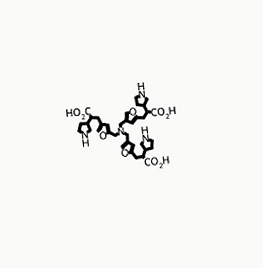 O=C(O)C(Cc1coc(CN(Cc2coc(CC(C(=O)O)C3CCNC3)c2)Cc2coc(CC(C(=O)O)C3CCNC3)c2)c1)C1CCNC1